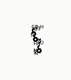 CCO[C@@H](Cc1ccc(-c2cccc(N(C)C(=O)NCCc3cccc4nsnc34)c2)nc1)C(=O)O